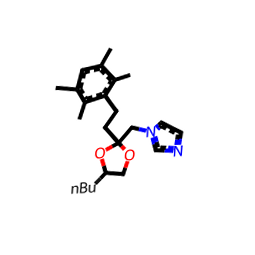 CCCCC1COC(CCc2c(C)c(C)cc(C)c2C)(Cn2ccnc2)O1